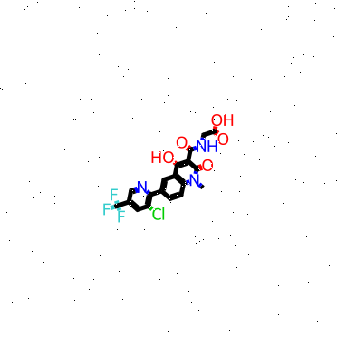 Cn1c(=O)c(C(=O)NCC(=O)O)c(O)c2cc(-c3ncc(C(F)(F)F)cc3Cl)ccc21